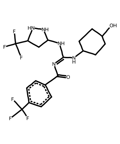 O=C(/N=C(\NC1CCC(O)CC1)NC1CC(C(F)(F)F)NN1)c1ccc(C(F)(F)F)cc1